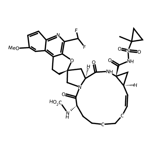 COc1ccc2nc(C(F)F)c3c(c2c1)CC[C@]1(C[C@H]2C(=O)N[C@]4(C(=O)NS(=O)(=O)C5(C)CC5)C[C@H]4C=CCCCCC[C@H](NC(=O)O)C(=O)N2C1)O3